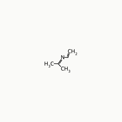 C=CN=C(C)C